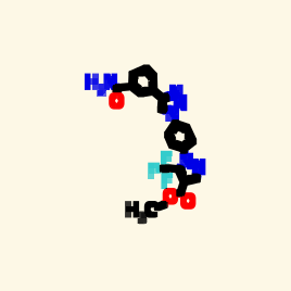 CCOC(=O)c1cnn(-c2ccc(-n3cc(-c4cccc(C(N)=O)c4)nn3)cc2)c1C(F)(F)F